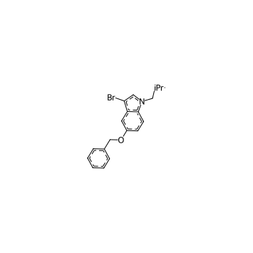 C[C](C)Cn1cc(Br)c2cc(OCc3ccccc3)ccc21